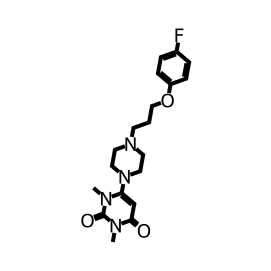 Cn1c(N2CCN(CCCOc3ccc(F)cc3)CC2)cc(=O)n(C)c1=O